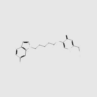 O=c1cc(CO)occ1OCCCCCn1ccc2ccc(Cl)cc21